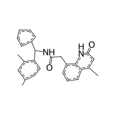 Cc1ccc(C(NC(=O)Cc2cccc3c(C)cc(=O)[nH]c23)c2ccccc2)c(C)c1